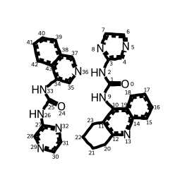 O=C(Nc1cnccn1)Nc1c2c(nc3ccccc13)CCCC2.O=C(Nc1cnccn1)Nc1cncc2ccccc12